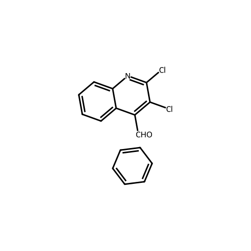 O=Cc1c(Cl)c(Cl)nc2ccccc12.c1ccccc1